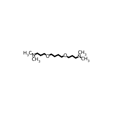 CN(C)CCCOCCCCOCCCN(C)C